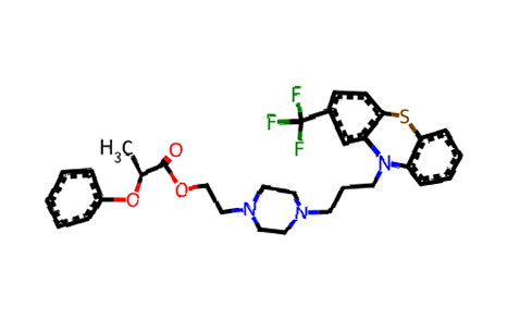 CC(Oc1ccccc1)C(=O)OCCN1CCN(CCCN2c3ccccc3Sc3ccc(C(F)(F)F)cc32)CC1